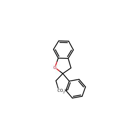 O=C(O)CC1(c2ccccc2)Cc2ccccc2O1